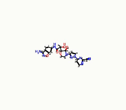 CC(O)(C(=O)Nc1ccc2c(N)noc2c1)C1OCCN(c2ccn(-c3ccnc(C#N)n3)n2)C1=O